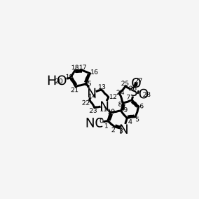 N#Cc1cnc2ccc3c(c2c1N1CCN(c2cccc(O)c2)CC1)CCS3(=O)=O